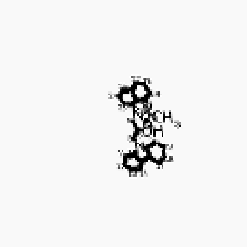 CS(=O)(=O)N(CC(O)Cn1c2ccccc2c2ccccc21)c1cccc2ccccc12